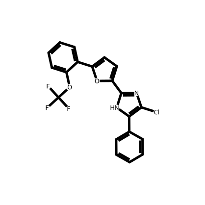 FC(F)(F)Oc1ccccc1-c1ccc(-c2nc(Cl)c(-c3ccccc3)[nH]2)o1